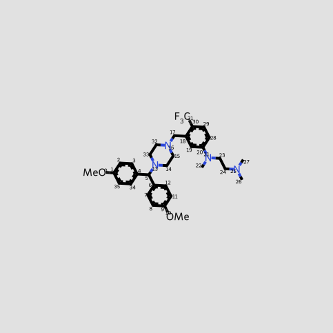 COc1ccc(C(c2ccc(OC)cc2)N2CCN(Cc3cc(N(C)CCN(C)C)ccc3C(F)(F)F)CC2)cc1